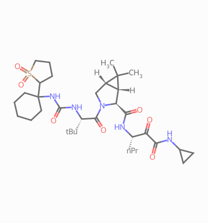 CCC[C@H](NC(=O)[C@@H]1[C@@H]2[C@H](CN1C(=O)[C@@H](NC(=O)NC1(C3CCCS3(=O)=O)CCCCC1)C(C)(C)C)C2(C)C)C(=O)C(=O)NC1CC1